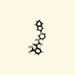 O=C(NC1CCCN(C2Cc3ccccc3C2)C1)c1n[nH]c(=O)c2ccccc12